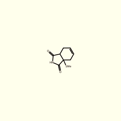 CSC12CC=CCC1C(=O)NC2=O